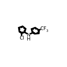 FC(F)(F)c1ccc(Nc2ccccc2Cl)cc1